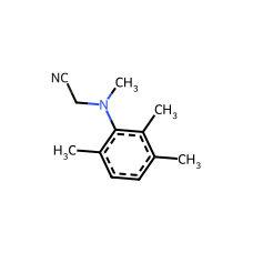 Cc1ccc(C)c(N(C)CC#N)c1C